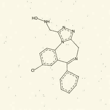 ONCc1nnc2n1-c1ccc(Cl)cc1C(c1ccccc1)=NC2